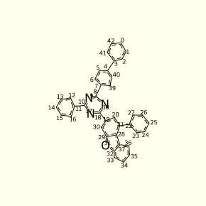 c1ccc(-c2ccc(-c3nc(-c4ccccc4)nc(-c4cc(-c5ccccc5)c5c(c4)oc4ccccc45)n3)cc2)cc1